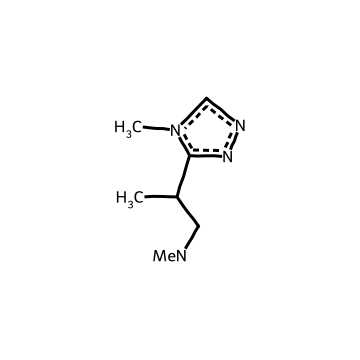 CNCC(C)c1nncn1C